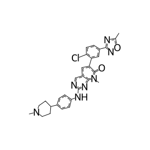 Cc1nc(-c2ccc(Cl)c(-c3cc4cnc(Nc5ccc(C6CCN(C)CC6)cc5)nc4n(C)c3=O)c2)no1